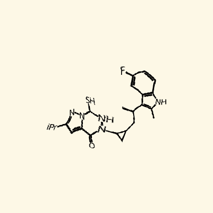 Cc1[nH]c2ccc(F)cc2c1C(C)CC1CC1N1NC(S)n2nc(C(C)C)cc2C1=O